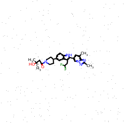 Cc1nc2c(C)cc(-c3[nH]c4ccc(C5CCN(C(=O)CC(C)(C)O)CC5)cc4c3CC(F)F)cn2n1